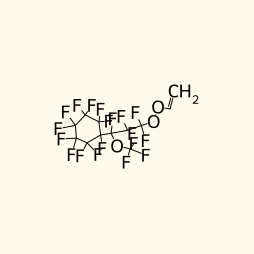 C=COOC(F)(F)C(F)(F)C(F)(OC(F)(F)F)C1(F)C(F)(F)C(F)(F)C(F)(F)C(F)(F)C1(F)F